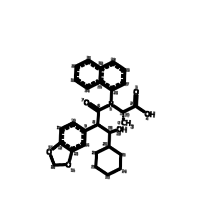 C[C@@H](C(=O)O)N(C(=O)C(c1ccc2c(c1)OCO2)C(O)C1CCCCC1)c1cccc2ccccc12